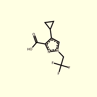 O=C(O)c1nn(CC(F)(F)F)cc1C1CC1